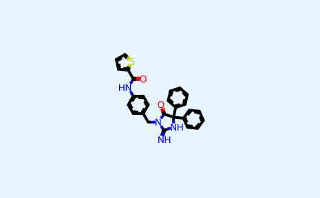 N=C1NC(c2ccccc2)(c2ccccc2)C(=O)N1Cc1ccc(NC(=O)c2cccs2)cc1